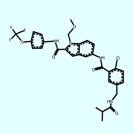 COCn1c(C(=O)Nc2ccc(OC(F)(F)F)cc2)cc2cc(NC(=O)c3cc(CNC(=O)C(C)C)ccc3Cl)ccc21